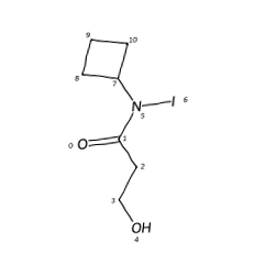 O=C(CCO)N(I)C1CCC1